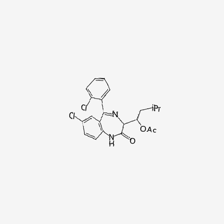 CC(=O)OC(CC(C)C)C1N=C(c2ccccc2Cl)c2cc(Cl)ccc2NC1=O